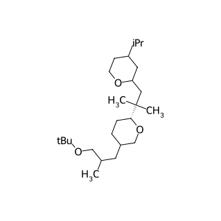 CC(COC(C)(C)C)CC1CC[C@H](C(C)(C)CC2CC(C(C)C)CCO2)OC1